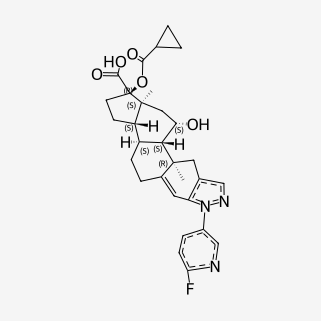 C[C@]12Cc3cnn(-c4ccc(F)nc4)c3C=C1CC[C@@H]1[C@@H]2[C@@H](O)C[C@@]2(C)[C@H]1CC[C@]2(OC(=O)C1CC1)C(=O)O